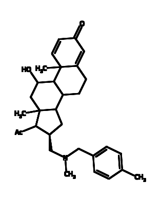 CC(=O)C1[C@H](CN(C)Cc2ccc(C)cc2)CC2C3CCC4=CC(=O)C=CC4(C)C3C(O)CC21C